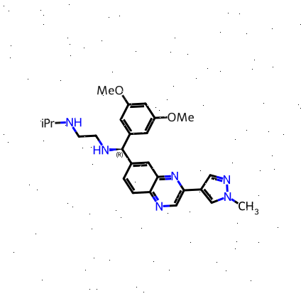 COc1cc(OC)cc([C@H](NCCNC(C)C)c2ccc3ncc(-c4cnn(C)c4)nc3c2)c1